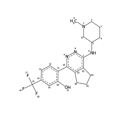 CN1CCCC(Nc2nnc(-c3ccc(C(F)(F)F)cc3O)c3c2CCC3)C1